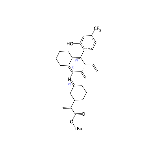 C=CC/C(=C1/CCCC/C1=C(\N=C1/CCCC(C(=C)C(=O)OC(C)(C)C)C1)C(=C)C)c1ccc(C(F)(F)F)cc1O